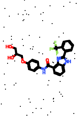 O=C(Nc1ccc(OCC(O)CO)cc1)c1cccc2[nH]c(-c3ccccc3C(F)(F)F)nc12